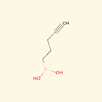 C#CCCCB(O)O